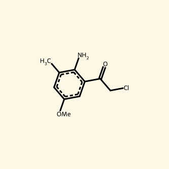 COc1cc(C)c(N)c(C(=O)CCl)c1